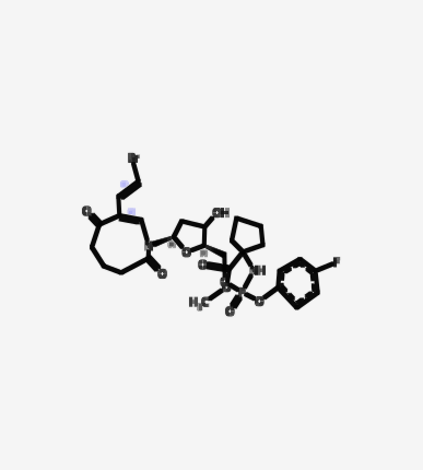 COC(=O)C1(NP(=O)(OC[C@H]2O[C@@H](N3/C=C(/C=C/Br)C(=O)CCCC3=O)CC2O)Oc2ccc(F)cc2)CCCC1